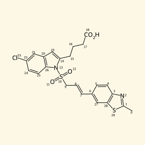 Cc1nc2ccc(C=CCS(=O)(=O)n3c(CCCC(=O)O)cc4cc(Cl)ccc43)cc2s1